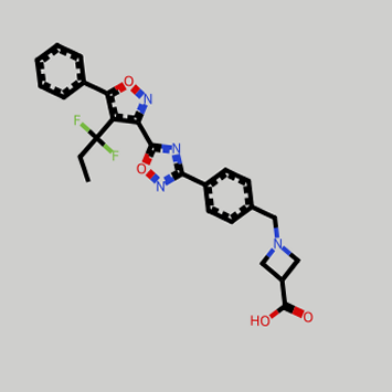 CCC(F)(F)c1c(-c2nc(-c3ccc(CN4CC(C(=O)O)C4)cc3)no2)noc1-c1ccccc1